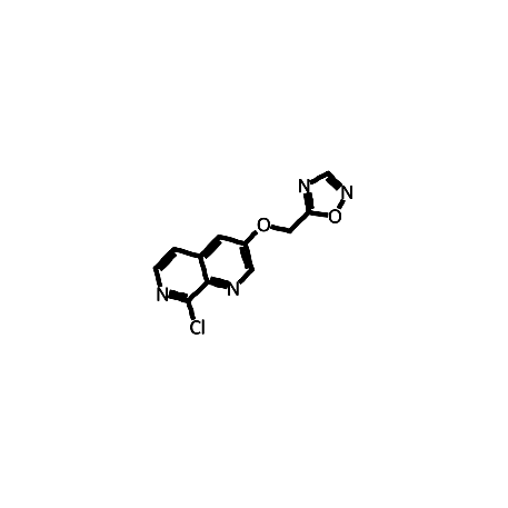 Clc1nccc2cc(OCc3ncno3)cnc12